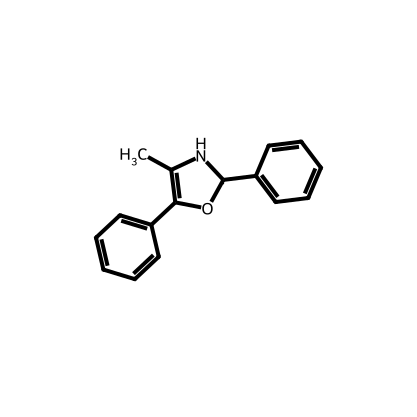 CC1=C(c2ccccc2)O[C](c2ccccc2)N1